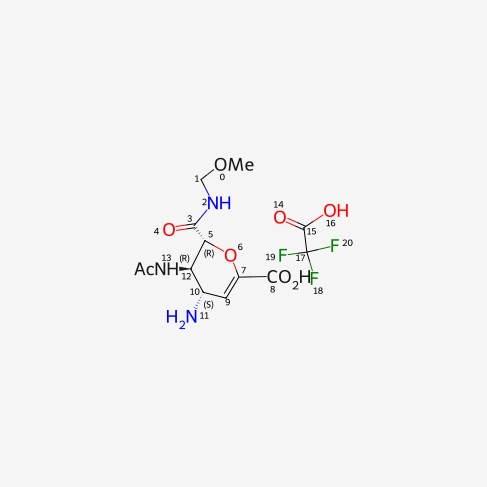 COCNC(=O)[C@@H]1OC(C(=O)O)=C[C@H](N)[C@H]1NC(C)=O.O=C(O)C(F)(F)F